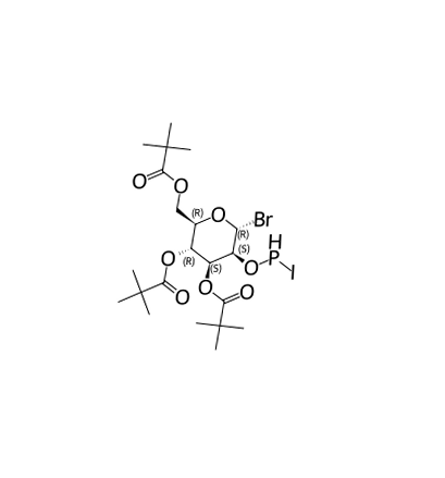 CC(C)(C)C(=O)OC[C@H]1O[C@H](Br)[C@@H](OPI)[C@@H](OC(=O)C(C)(C)C)[C@@H]1OC(=O)C(C)(C)C